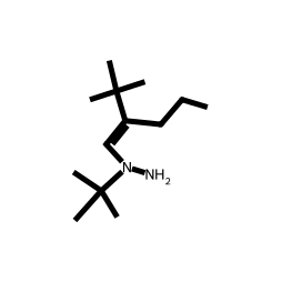 CCC/C(=C\N(N)C(C)(C)C)C(C)(C)C